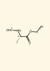 CC(C)COC(=O)[C@H](C)NC=O